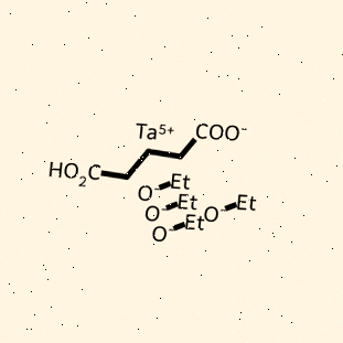 CC[O-].CC[O-].CC[O-].CC[O-].O=C([O-])CCCC(=O)O.[Ta+5]